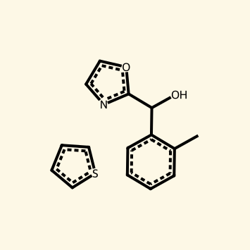 Cc1ccccc1C(O)c1ncco1.c1ccsc1